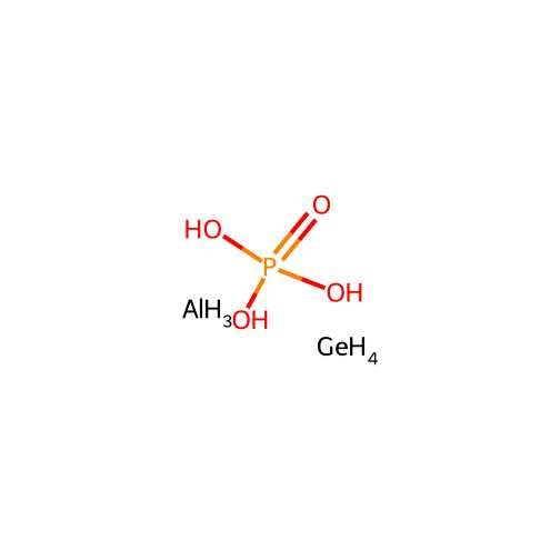 O=P(O)(O)O.[AlH3].[GeH4]